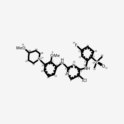 COc1c(Nc2ncc(Cl)c(Nc3cc(F)ccc3P(C)(C)=O)n2)cccc1N1CCC(OC)CC1